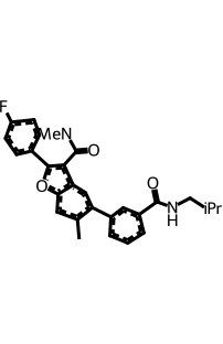 CNC(=O)c1c(-c2ccc(F)cc2)oc2cc(C)c(-c3cccc(C(=O)NCC(C)C)c3)cc12